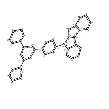 c1ccc(-c2cc(-c3ccccc3)cc(-c3ccc(-n4c5ccccc5c5c6ccccc6sc54)cc3)c2)cc1